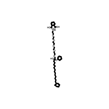 O=C(O)c1ccccc1C(=O)O.OCCOCCOCCOCCOCCOCC(O)(CCCCCCCCCCCCCc1ccccc1)Oc1ccccc1